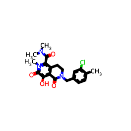 Cc1ccc(CN2CCc3c(c(O)c(=O)n(C)c3C(=O)N(C)C)C2=O)cc1Cl